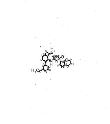 COc1cc(-c2ccc3c(c2NC(=O)N=S(N)(=O)c2cnn4c2OCCC4)[C@@H](C)C3)ccn1